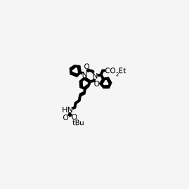 CCOC(=O)CC(c1ccccc1)N1CC(=O)N(c2ccccc2)c2ccc(C=CCCCNC(=O)OC(C)(C)C)cc2C1=O